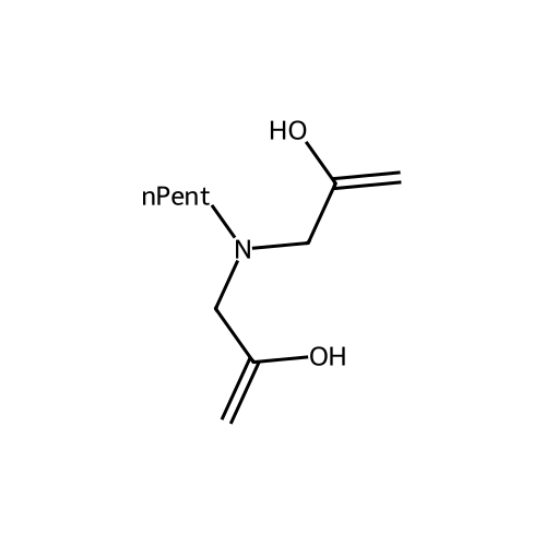 C=C(O)CN(CCCCC)CC(=C)O